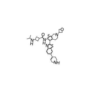 CC(C)NC1CC(C(=O)Nc2sc3c(c2-c2nc4ccc(C5=CCNCC5)cc4s2)CCN(C2COC2)C3)C1